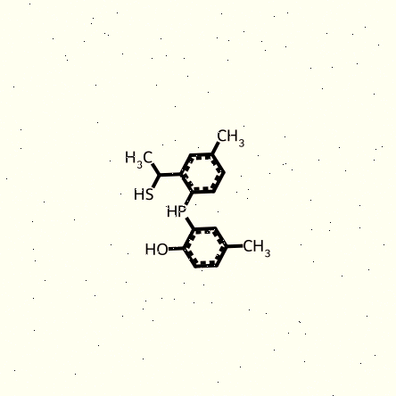 Cc1ccc(O)c(Pc2ccc(C)cc2C(C)S)c1